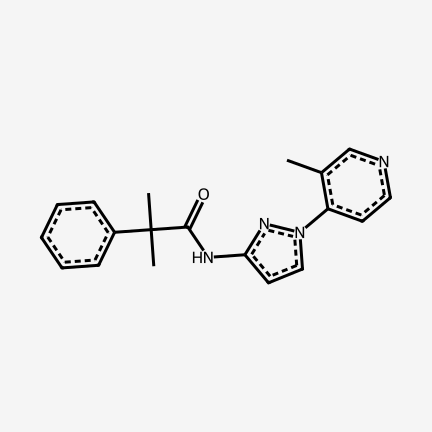 Cc1cnccc1-n1ccc(NC(=O)C(C)(C)c2ccccc2)n1